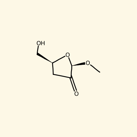 CO[C@@H]1O[C@H](CO)CC1=O